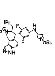 CCCCN1CC(Nc2cc(F)c([C@@H]3c4ccc5[nH]ncc5c4CN(C)[C@H]3CC(C)C)c(F)c2)C1